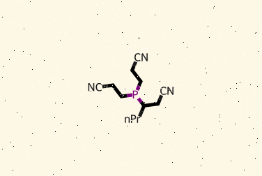 CCCC(CC#N)P(CCC#N)CCC#N